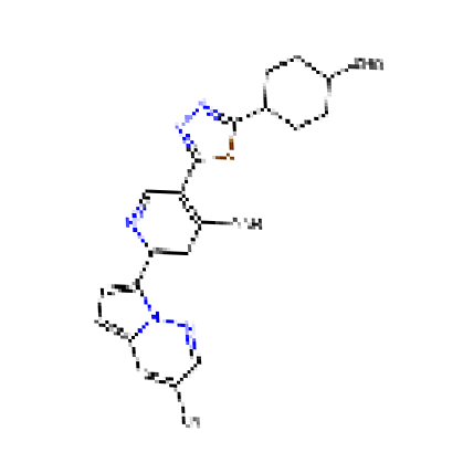 CNc1cc(-c2ccc3cc(C#N)cnn23)ncc1-c1nnc(C2CCC(C=O)CC2)s1